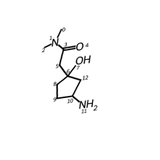 CN(C)C(=O)CC1(O)CCC(N)C1